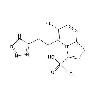 O=P(O)(O)c1cnc2ccc(Cl)c(CCc3nnn[nH]3)n12